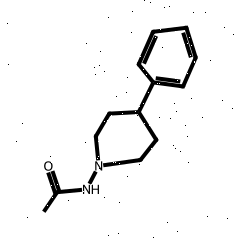 CC(=O)NN1CCC(c2ccccc2)CC1